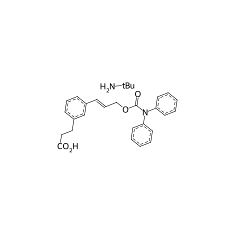 CC(C)(C)N.O=C(O)CCc1cccc(C=CCOC(=O)N(c2ccccc2)c2ccccc2)c1